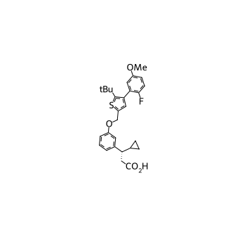 COc1ccc(F)c(-c2cc(COc3cccc([C@@H](CC(=O)O)C4CC4)c3)sc2C(C)(C)C)c1